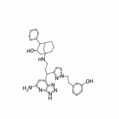 Nc1cc(C(CCNC23CCCC(C2)C(c2ccccc2)[C@H](O)C3)c2ccn(CCc3cccc(O)c3)n2)c2nn[nH]c2n1